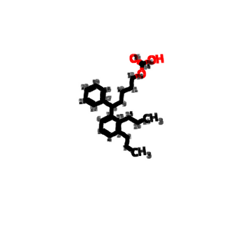 CCCc1cccc(C(CCCCOC(=O)O)c2ccccc2)c1CCC